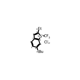 CCc1cc2ccc(C(C)(C)C)cc2[s+]1C(F)(F)F.[Cl-]